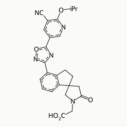 CC(C)Oc1ncc(-c2nc(-c3cccc4c3CCC43CC(=O)N(CC(=O)O)C3)no2)cc1C#N